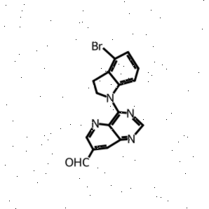 O=Cc1cnc2c(N3CCc4c(Br)cccc43)ncnc2c1